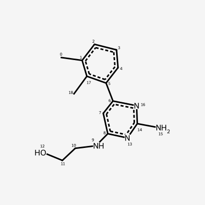 Cc1cccc(-c2cc(NCCO)nc(N)n2)c1C